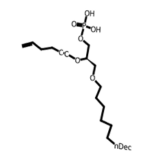 C=CCCCCO[C@H](COCCCCCCCCCCCCCCCC)COP(=O)(O)O